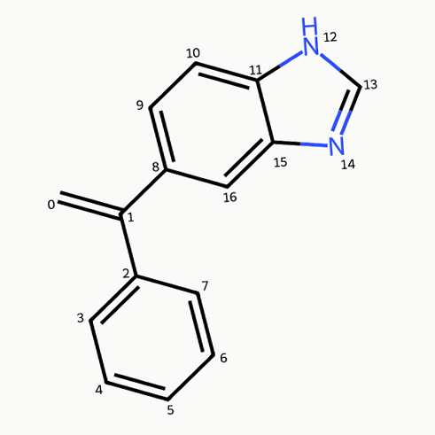 C=C(c1ccccc1)c1ccc2[nH]cnc2c1